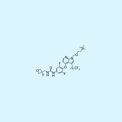 C[C@H](c1cn(COCC[Si](C)(C)C)c2nccc(Oc3c(F)cc(NC(=O)NCC4(F)COC4)cc3F)c12)C(F)(F)F